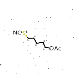 CC(=O)OCCCCCSC#N